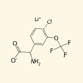 NC(C(=O)[O-])c1ccc(Cl)c(OC(F)(F)F)c1.[Li+]